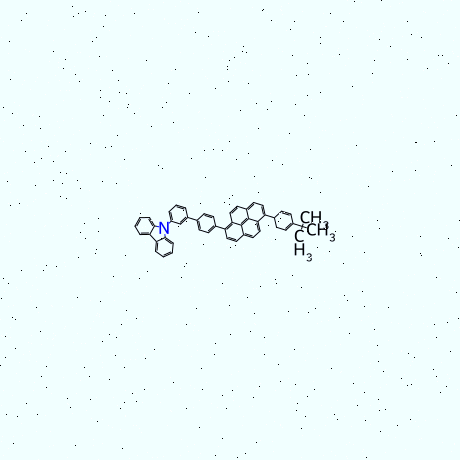 CC(C)(C)C1=CCC(c2ccc3ccc4c(-c5ccc(-c6cccc(-n7c8ccccc8c8ccccc87)c6)cc5)ccc5ccc2c3c54)C=C1